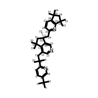 CC(C)(C)c1ccc(C(C)(C)Cc2cncc3c2C(C)(C)C[C@@]3(C)Cc2ccc3c(n2)C(C)(C)CC3(C)C)nc1